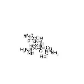 CNC(=O)C(=O)CCC(NC(=O)O)C(=O)NC(CCCNC(=N)N)C(=O)NC(C)(C)C(=O)N1C[C@H](O)C[C@H]1C(N)=O